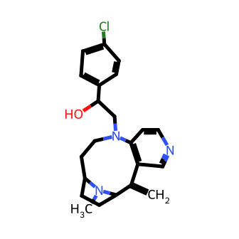 C=C1c2cnccc2N(CC(O)c2ccc(Cl)cc2)CCC2CCC1N2C